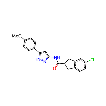 COc1ccc(-c2cc(NC(=O)C3Cc4ccc(Cl)cc4C3)n[nH]2)cc1